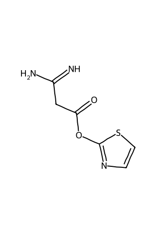 N=C(N)CC(=O)Oc1nccs1